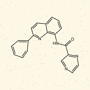 O=C(Nc1cccc2ccc(-c3ccccc3)nc12)c1cnccn1